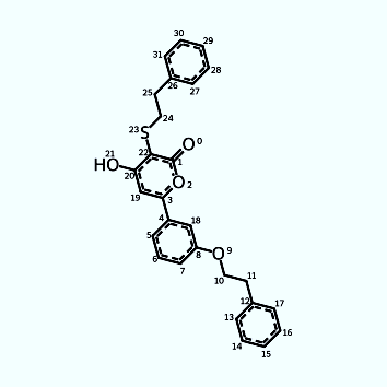 O=c1oc(-c2cccc(OCCc3ccccc3)c2)cc(O)c1SCCc1ccccc1